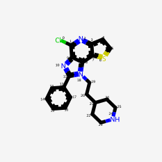 Clc1nc2ccsc2c2c1nc(-c1ccccc1)n2CCC1CCNCC1